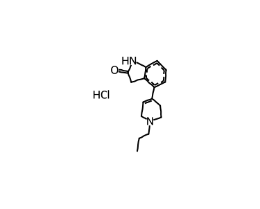 CCCN1CC=C(c2cccc3c2CC(=O)N3)CC1.Cl